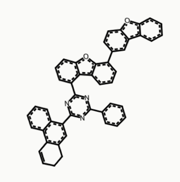 C1=Cc2c(cc(-c3nc(-c4ccccc4)nc(-c4cccc5oc6c(-c7ccc8oc9ccccc9c8c7)cccc6c45)n3)c3ccccc23)CC1